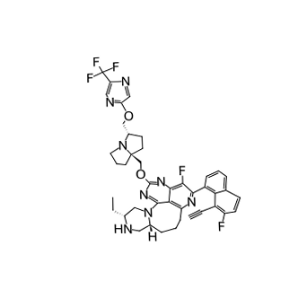 C#Cc1c(F)ccc2cccc(-c3nc4c5c(nc(OC[C@@]67CCCN6[C@H](COc6cnc(C(F)(F)F)cn6)CC7)nc5c3F)N3C[C@@H](CC)NC[C@H]3CCC4)c12